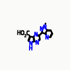 Cn1nc(-c2cnc3[nH]cc(C(=O)O)c3n2)c2ncccc21